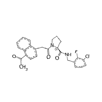 CC(=O)c1ccc(CC(=O)N2CCC[C@H]2C(=O)NCc2cccc(Cl)c2F)c2ccccc12